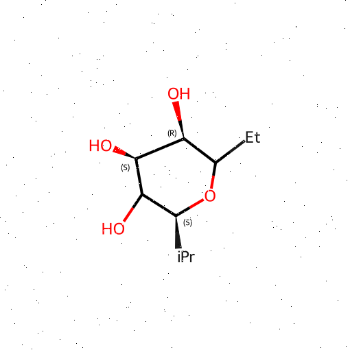 CCC1O[C@@H](C(C)C)C(O)[C@@H](O)[C@H]1O